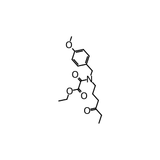 CCOC(=O)C(=O)N(CCCC(=O)CC)Cc1ccc(OC)cc1